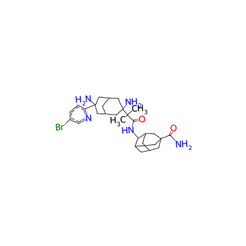 CC(C)(C(=O)NC1C2CC3CC1CC(C(N)=O)(C3)C2)C1(N)CC2CC(CC(N)(c3ccc(Br)cn3)C2)C1